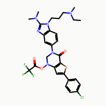 CCN(C)CCCn1c(N(C)C)nc2cc(N3CN(OC(=O)C(F)(F)F)c4cc(-c5ccc(Cl)cc5)sc4C3=O)ccc21